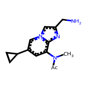 CC(=O)N(C)c1cc(C2CC2)cn2cc(CN)nc12